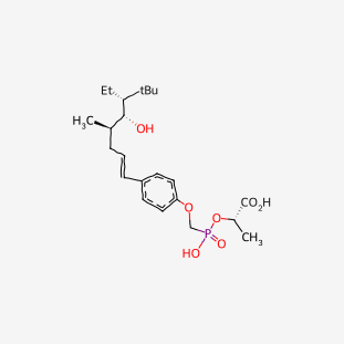 CC[C@@H]([C@H](O)[C@H](C)C/C=C/c1ccc(OCP(=O)(O)O[C@@H](C)C(=O)O)cc1)C(C)(C)C